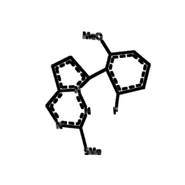 COc1cccc(F)c1-c1ccc2cnc(SC)nn12